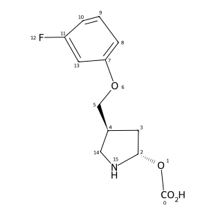 O=C(O)O[C@H]1C[C@H](COc2cccc(F)c2)CN1